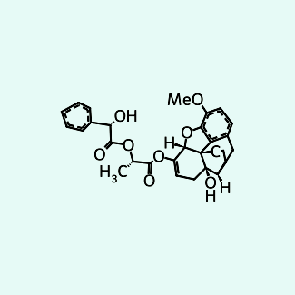 COc1ccc2c3c1O[C@H]1C(OC(=O)[C@H](C)OC(=O)[C@@H](O)c4ccccc4)=CC[C@@]4(O)[C@H](CCC[C@]314)C2